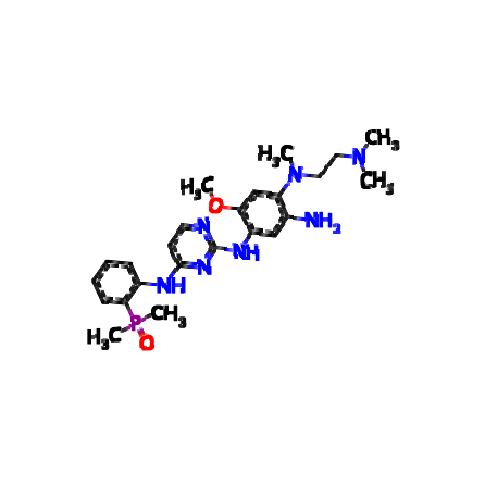 COc1cc(N(C)CCN(C)C)c(N)cc1Nc1nccc(Nc2ccccc2P(C)(C)=O)n1